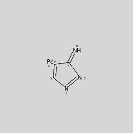 N=C1C=CN=N1.[Pd]